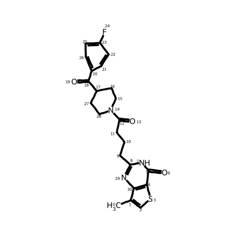 Cc1csc2c(=O)[nH]c(CCCC(=O)N3CCC(C(=O)c4ccc(F)cc4)CC3)nc12